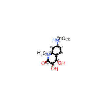 CCCCCCCCNc1ccc2c(O)c(O)c(=O)n(C)c2c1